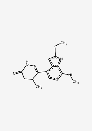 CCc1cc2c(C3=NNC(=O)CC3C)ccc(NC)n2n1